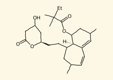 CCC(C)(C)C(=O)OC1CC(C)C=C2C=CC(C)CC(CC[C@@H]3CC(O)CC(=O)O3)[C@H]21